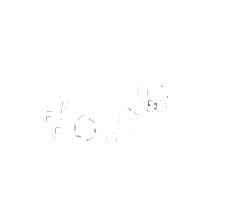 CC1(C)OB(C2=CCC(Oc3ccc(C(F)(F)F)cc3)CC2)OC1(C)C